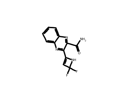 NC(=O)c1nc2ccccc2nc1C1=CC(F)(F)N1